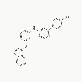 Oc1ccc(-c2cc(Nc3cccc(Cn4cnc5ccccc54)c3)ncn2)cc1